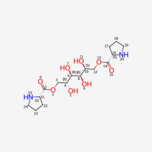 O=C(OC[C@@H](O)[C@@H](O)[C@H](O)[C@@H](O)COC(=O)[C@@H]1CCCN1)[C@@H]1CCCN1